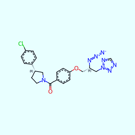 [N-]=[N+]=N[C@@H](COc1ccc(C(=O)N2CC[C@H](c3ccc(Cl)cc3)C2)cc1)Cn1ncnn1